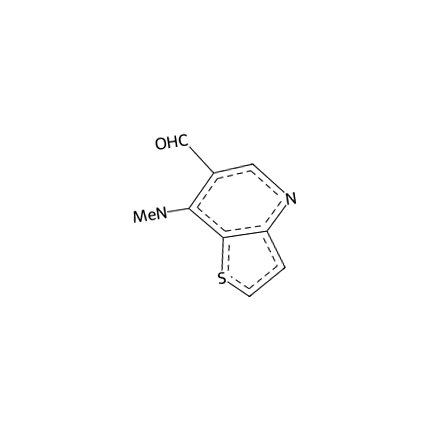 CNc1c(C=O)cnc2ccsc12